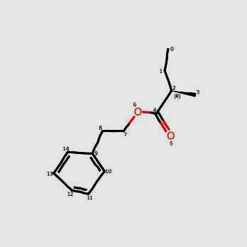 CC[C@@H](C)C(=O)OCCc1ccccc1